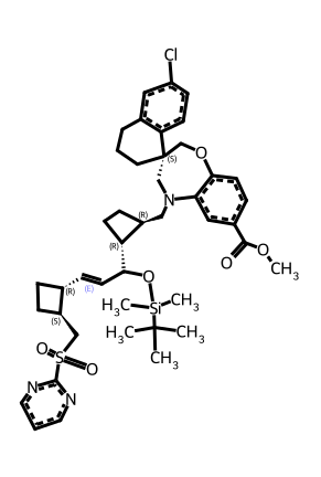 COC(=O)c1ccc2c(c1)N(C[C@@H]1CC[C@H]1C(/C=C/[C@H]1CC[C@@H]1CS(=O)(=O)c1ncccn1)O[Si](C)(C)C(C)(C)C)C[C@@]1(CCCc3cc(Cl)ccc31)CO2